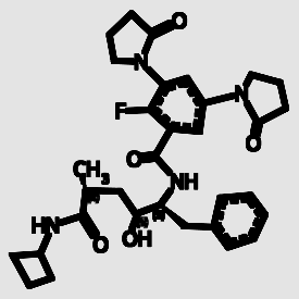 C[C@H](C[C@H](O)[C@H](Cc1ccccc1)NC(=O)c1cc(N2CCCC2=O)cc(N2CCCC2=O)c1F)C(=O)NC1CCC1